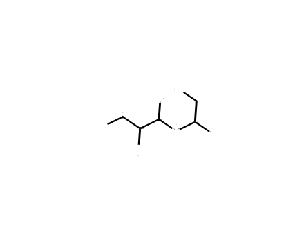 CCC(CO)NC(O)C(O)CS(=O)(=O)O